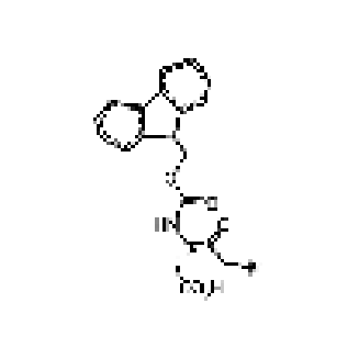 O=C(O)C[C@H](NC(=O)OCC1c2ccccc2-c2ccccc21)C(=O)CBr